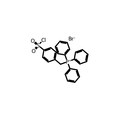 O=S(=O)(Cl)c1ccc(C[P+](c2ccccc2)(c2ccccc2)c2ccccc2)cc1.[Br-]